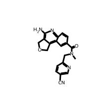 CN(Cc1ccc(C#N)cn1)C(=O)c1ccc2nc(N)c3c(c2c1)COC3